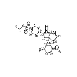 CCCS(=O)(=O)N1CC=C(c2cc3c(-c4cc(F)ccc4OC)ccnc3[nH]2)CC1